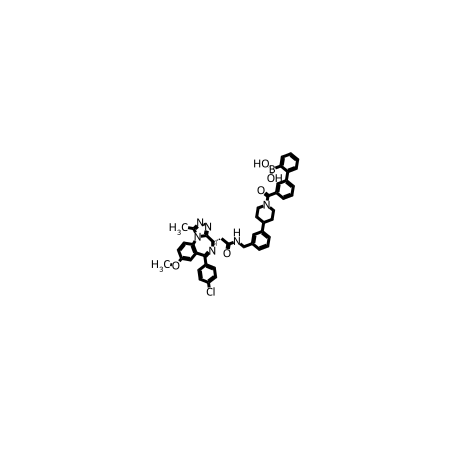 COc1ccc2c(c1)C(c1ccc(Cl)cc1)=N[C@@H](CC(=O)NCc1cccc(C3CCN(C(=O)c4cccc(-c5ccccc5B(O)O)c4)CC3)c1)c1nnc(C)n1-2